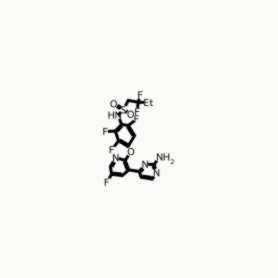 CCC(F)(F)CS(=O)(=O)Nc1c(F)cc(Oc2ncc(F)cc2-c2ccnc(N)n2)c(F)c1F